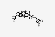 C[C@]12CC[C@H](NC(=O)OCCN3CCNC(=O)C3)C[C@H]1CC[C@@H]1[C@@H]2CC[C@]2(C)[C@@H](C3=CC(=O)OC3)CC[C@]12O